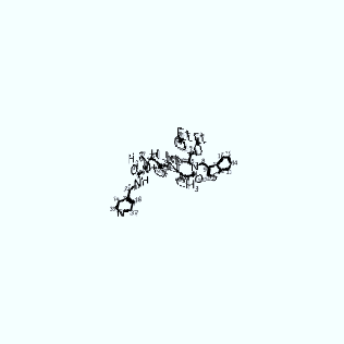 CCOC(OCC)[C@H](C)N(Cc1csc2ccccc12)C(=O)[C@H](C)NC(=O)CN(C)NC(=O)NCc1ccncc1